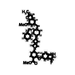 COC(=O)c1ccc(N2CC3(CC(N4CCN(Cc5cc(OC)c6oc(C)cc6c5)C[C@H]4c4ccccc4C(C)C)C3)C2)cc1Oc1cnc2[nH]cc(F)c2c1